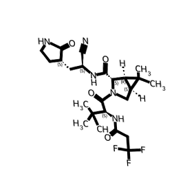 CC(C)(C)[C@H](NC(=O)CC(F)(F)F)C(=O)N1C[C@H]2[C@@H]([C@H]1C(=O)N[C@H](C#N)C[C@@H]1CCNC1=O)C2(C)C